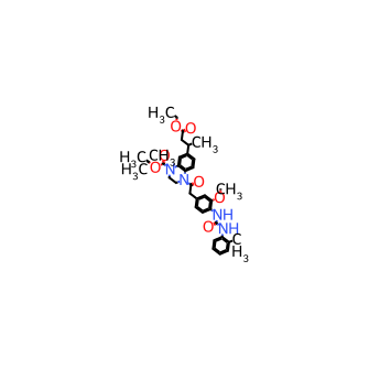 CCOC(=O)CC(C)c1ccc2c(c1)N(C(=O)OC(C)(C)C)CCN2C(=O)Cc1ccc(NC(=O)Nc2ccccc2C)c(OC)c1